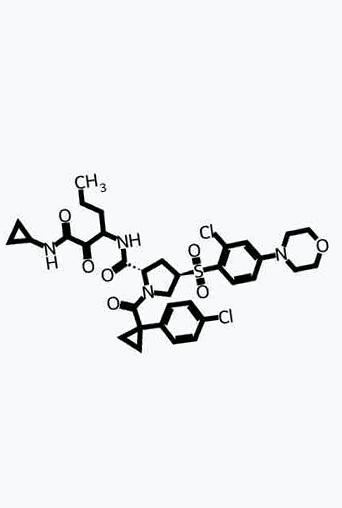 CCCC(NC(=O)[C@@H]1C[C@@H](S(=O)(=O)c2ccc(N3CCOCC3)cc2Cl)CN1C(=O)C1(c2ccc(Cl)cc2)CC1)C(=O)C(=O)NC1CC1